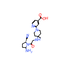 CC1(NCC(=O)N2C(N)CC[C@H]2C#N)CCN(c2cc(C(=O)O)ccn2)CC1